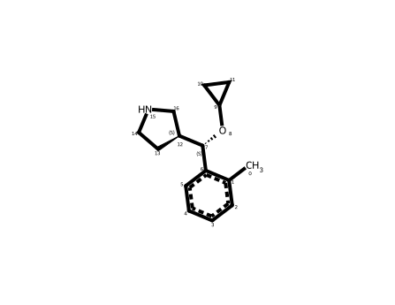 Cc1ccccc1[C@@H](OC1CC1)[C@H]1CCNC1